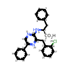 O=C(O)[C@H](Cc1ccccc1)Nc1ncc(-c2ccccc2)nc1Cc1ccccc1Cl